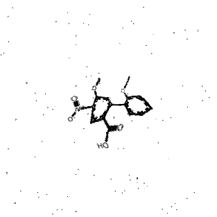 COc1ccccc1-c1cc(OC)c([N+](=O)[O-])cc1C(=O)O